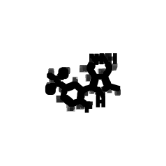 Cc1[nH]c(-c2cc(S(C)(=O)=O)ccc2F)c2c1CNN=C2